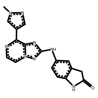 Cn1cc(-c2nccn3nc(Nc4ccc5c(c4)CC(=O)N5)nc23)cn1